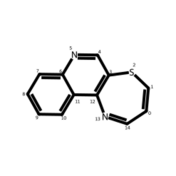 C1=CSc2cnc3ccccc3c2N=C1